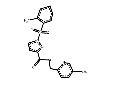 Cc1ccc(CNC(=O)c2ccn(S(=O)(=O)c3ccccc3C)n2)nc1